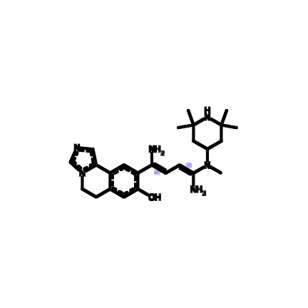 CN(/C(N)=C/C=C(\N)c1cc2c(cc1O)CCn1cncc1-2)C1CC(C)(C)NC(C)(C)C1